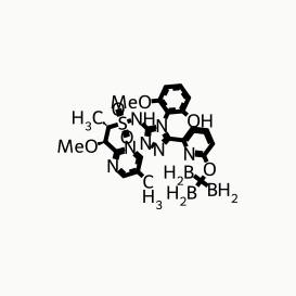 BC(B)(B)OC1=NC(c2nnc(NS(=O)(=O)[C@@H](C)[C@H](OC)c3ncc(C)cn3)n2-c2c(O)cccc2OC)=C=C=C1